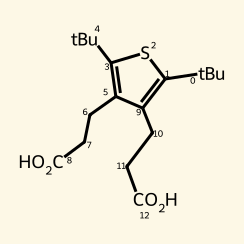 CC(C)(C)c1sc(C(C)(C)C)c(CCC(=O)O)c1CCC(=O)O